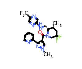 C[C@@H]1CC(F)(F)CN(C(=O)c2cn(C)nc2-c2ccccn2)[C@@H]1CNc1cnc(C(F)(F)F)cn1